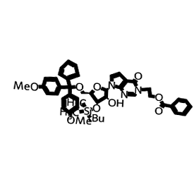 COc1ccc(C(OC[C@H]2O[C@@H](n3ccc4c(=O)n(CCOC(=O)c5ccccc5)cnc43)[C@H](O)[C@@H]2O[Si](C)(C)C(C)(C)C)(c2ccccc2)c2ccc(OC)cc2)cc1